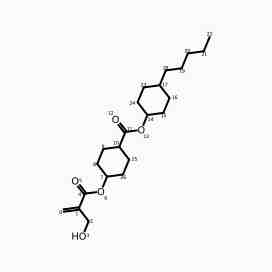 C=C(CO)C(=O)OC1CCC(C(=O)OC2CCC(CCCCC)CC2)CC1